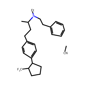 CC#N.CCN(CCc1ccccc1)C(C)CCc1ccc(C2CCCC2C(F)(F)F)cc1